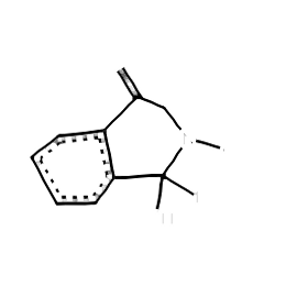 CN1CC(=O)c2ccccc2C1(C)I